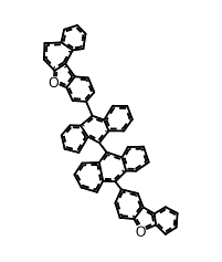 c1ccc2c(c1)ccc1oc3cc(-c4c5ccccc5c(-c5c6ccccc6c(-c6ccc7oc8ccccc8c7c6)c6ccccc56)c5ccccc45)ccc3c12